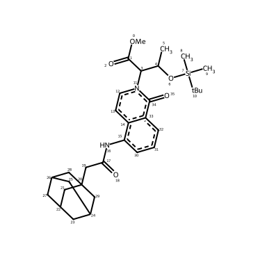 COC(=O)C(C(C)O[Si](C)(C)C(C)(C)C)n1ccc2c(NC(=O)CC34CC5CC(CC(C5)C3)C4)cccc2c1=O